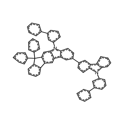 c1ccc(-c2cccc(-n3c4ccccc4c4cc(-c5ccc6c(c5)c5cc7c(cc5n6-c5cccc(-c6ccccc6)c5)C(c5ccccc5)(c5ccccc5)c5ccccc5-7)ccc43)c2)cc1